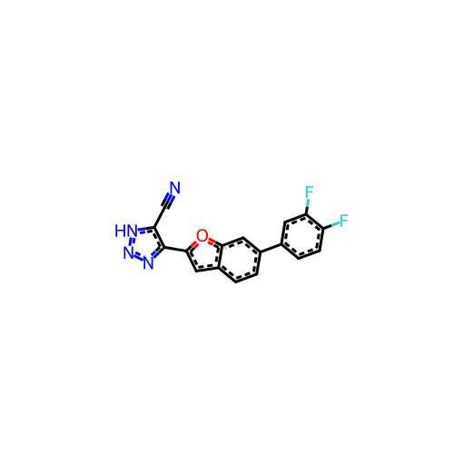 N#Cc1[nH]nnc1-c1cc2ccc(-c3ccc(F)c(F)c3)cc2o1